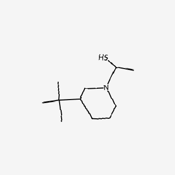 CC(S)N1CCCC(C(C)(C)C)C1